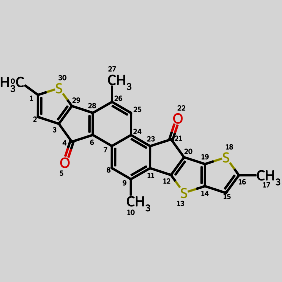 Cc1cc2c(=O)c3c4cc(C)c5c6sc7cc(C)sc7c6c(=O)c5c4cc(C)c3c2s1